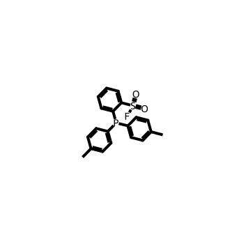 Cc1ccc(P(c2ccc(C)cc2)c2ccccc2S(=O)(=O)F)cc1